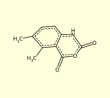 Cc1ccc2[nH]c(=O)oc(=O)c2c1C